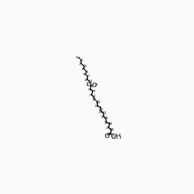 CCCCCCCCCCOC(=O)CCCCCCCCCCCCCCCCC(=O)O